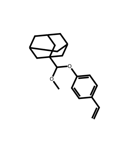 C=Cc1ccc(OC(OC)C23CC4CC(CC(C4)C2)C3)cc1